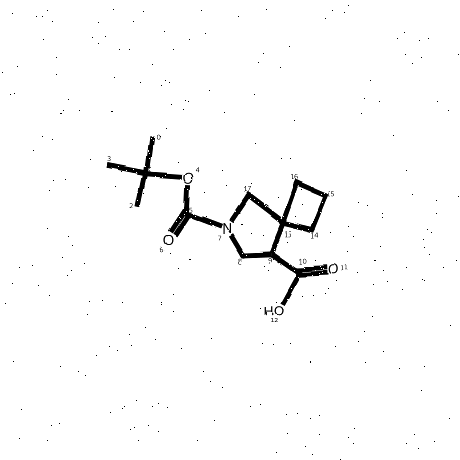 CC(C)(C)OC(=O)N1CC(C(=O)O)C2(CCC2)C1